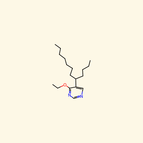 CCCCCCCC(CCCC)c1cncnc1OCC